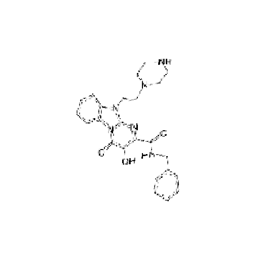 O=C(NCc1ccccc1)c1nc2n(CCN3CCNCC3)c3ccccc3n2c(=O)c1O